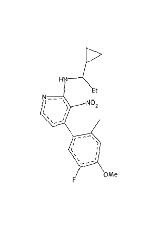 CCC(Nc1nccc(-c2cc(F)c(OC)cc2C)c1[N+](=O)[O-])C1CC1